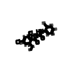 CCc1cc(Cl)cc(Cl)c1C(=O)NC(=O)Nc1ccccc1C